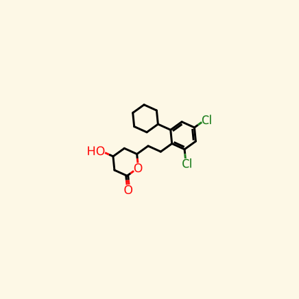 O=C1CC(O)CC(CCc2c(Cl)cc(Cl)cc2C2CCCCC2)O1